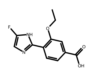 CCOc1cc(C(=O)O)ccc1-c1ncc(F)[nH]1